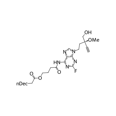 C#C[C@@](CO)(CCn1cnc2c(NC(=O)CCCOC(=O)CCCCCCCCCCC)nc(F)nc21)OC